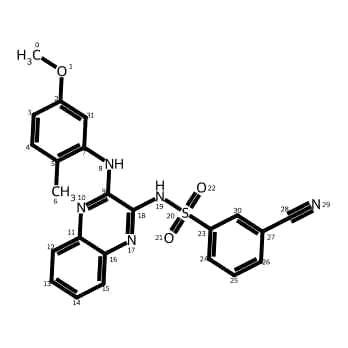 COc1ccc(C)c(Nc2nc3ccccc3nc2NS(=O)(=O)c2cccc(C#N)c2)c1